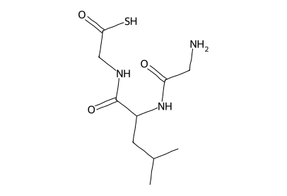 CC(C)CC(NC(=O)CN)C(=O)NCC(=O)S